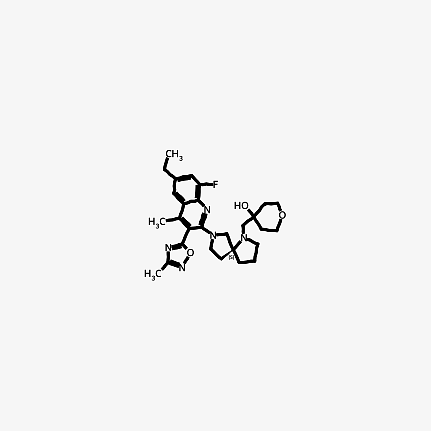 CCc1cc(F)c2nc(N3CC[C@@]4(CCCN4CC4(O)CCOCC4)C3)c(-c3nc(C)no3)c(C)c2c1